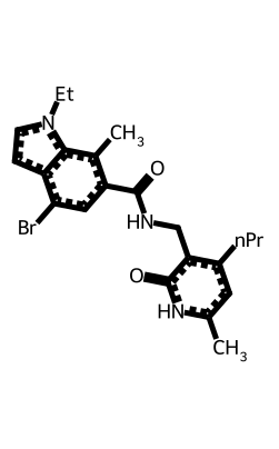 CCCc1cc(C)[nH]c(=O)c1CNC(=O)c1cc(Br)c2ccn(CC)c2c1C